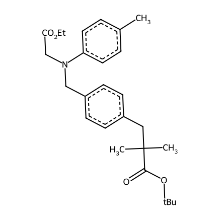 CCOC(=O)CN(Cc1ccc(CC(C)(C)C(=O)OC(C)(C)C)cc1)c1ccc(C)cc1